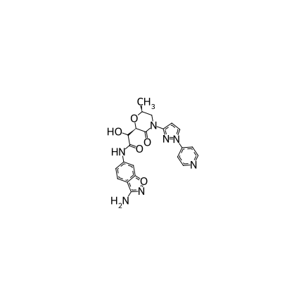 C[C@H]1CN(c2ccn(-c3ccncc3)n2)C(=O)[C@@H](C(O)C(=O)Nc2ccc3c(N)noc3c2)O1